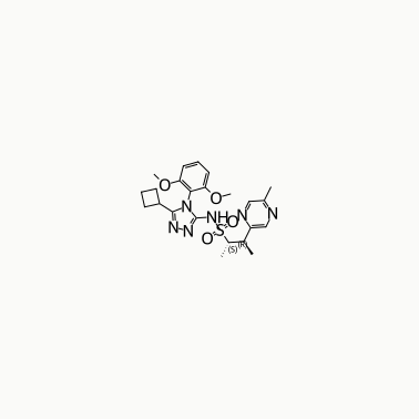 COc1cccc(OC)c1-n1c(NS(=O)(=O)[C@@H](C)[C@H](C)c2cnc(C)cn2)nnc1C1CCC1